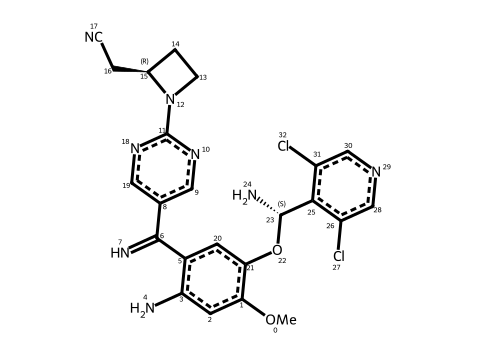 COc1cc(N)c(C(=N)c2cnc(N3CC[C@@H]3CC#N)nc2)cc1O[C@H](N)c1c(Cl)cncc1Cl